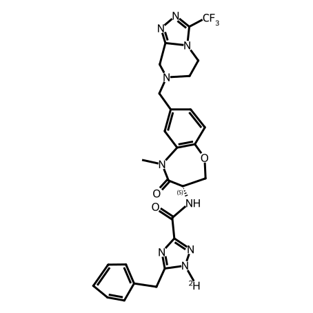 [2H]n1nc(C(=O)N[C@H]2COc3ccc(CN4CCn5c(nnc5C(F)(F)F)C4)cc3N(C)C2=O)nc1Cc1ccccc1